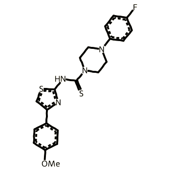 COc1ccc(-c2csc(NC(=S)N3CCN(c4ccc(F)cc4)CC3)n2)cc1